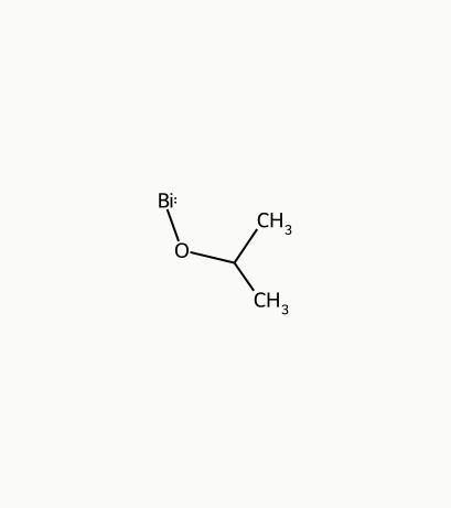 CC(C)[O][Bi]